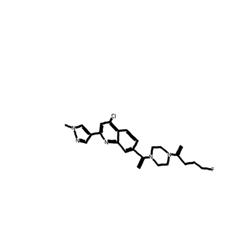 C=C(CCCF)N1CCN(C(=C)c2ccc3c(Cl)cc(-c4cnn(C)c4)nc3c2)CC1